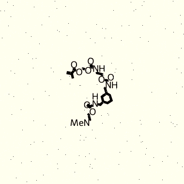 C=C(C)C(=O)OCOC(=O)NCCOC(=O)NCC1CCCC(CNC(=O)OCCNC)C1